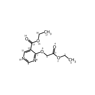 CCOC(=O)COc1ncncc1C(=O)OCC